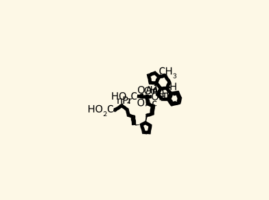 CCCC(CC/C=C/[C@H]1CCC[C@@H]1C/C=C\CC(O)(OC(C)=O)C(OC(C)=O)(OC(C)=O)C(=O)O)CC(=O)O.C[C@@]12CCC[C@H]1[C@@H]1CCc3ccccc3[C@H]1CC2